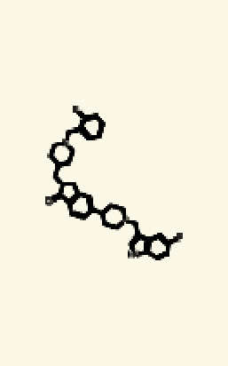 O=C1c2ccc(C3CCN(Cc4c[nH]c5ccc(F)cc45)CC3)cc2CC1CC1CCN(Cc2ccccc2F)CC1